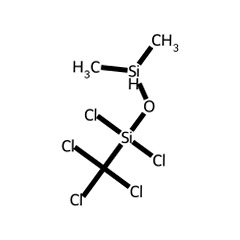 C[SiH](C)O[Si](Cl)(Cl)C(Cl)(Cl)Cl